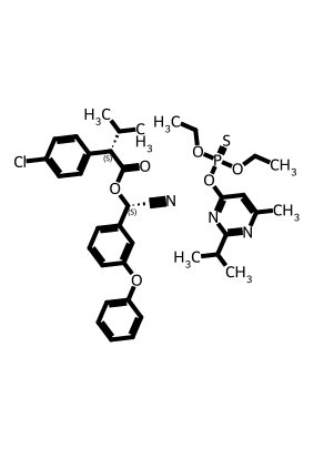 CC(C)[C@H](C(=O)O[C@H](C#N)c1cccc(Oc2ccccc2)c1)c1ccc(Cl)cc1.CCOP(=S)(OCC)Oc1cc(C)nc(C(C)C)n1